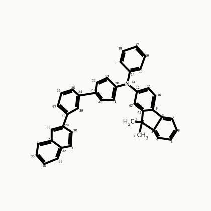 CC1(C)c2ccccc2-c2ccc(N(c3ccccc3)c3ccc(-c4cccc(-c5ccc6ccccc6c5)c4)cc3)cc21